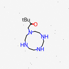 CC(C)(C)C(=O)CN1CCNCCNCCNCC1